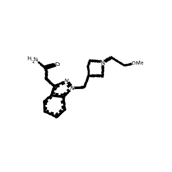 COCCN1CCC(Cn2nc(CC(N)=O)c3ccccc32)C1